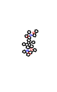 c1ccc(-c2ccccc2N(c2ccc3cc4c(cc3c2)C(c2ccccc2)(c2ccccc2)c2c-4c3ccccc3c3cc(N(c4ccccc4-c4ccccc4)c4cccc5c4oc4ccccc45)ccc23)c2cccc3c2oc2ccccc23)cc1